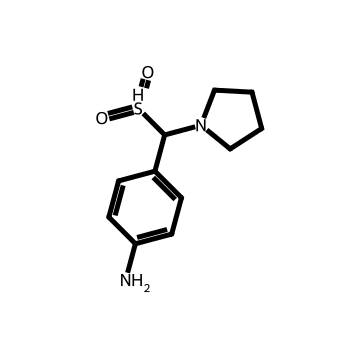 Nc1ccc(C(N2CCCC2)[SH](=O)=O)cc1